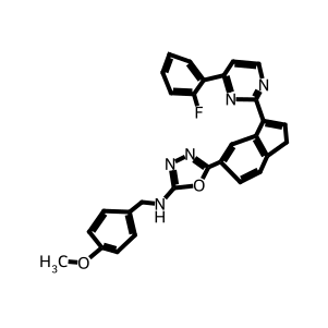 COc1ccc(CNc2nnc(-c3ccc4c(c3)C(c3nccc(-c5ccccc5F)n3)=CC4)o2)cc1